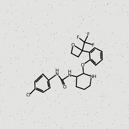 O=C(Nc1ccc(Cl)cc1)NC1CCCNC1Oc1ccccc1C1(C(F)(F)F)CCO1